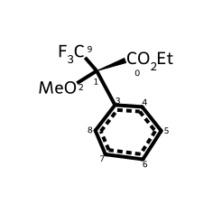 CCOC(=O)[C@](OC)(c1ccccc1)C(F)(F)F